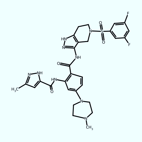 Cc1cc(C(=O)Nc2cc(N3CCN(C)CC3)ccc2C(=O)Nc2n[nH]c3c2CN(S(=O)(=O)c2cc(F)cc(F)c2)CC3)[nH]n1